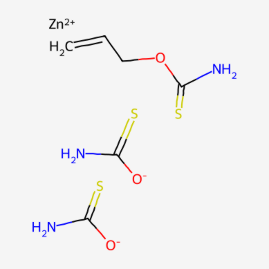 C=CCOC(N)=S.NC([O-])=S.NC([O-])=S.[Zn+2]